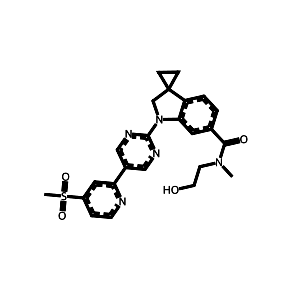 CN(CCO)C(=O)c1ccc2c(c1)N(c1ncc(-c3cc(S(C)(=O)=O)ccn3)cn1)CC21CC1